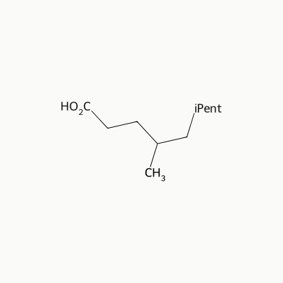 CCCC(C)CC(C)CCC(=O)O